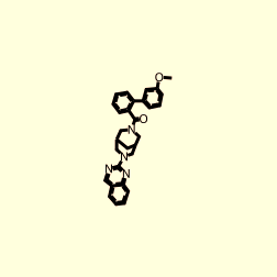 COc1cccc(-c2ccccc2C(=O)N2CC3CC(C2)CN(c2ncc4ccccc4n2)C3)c1